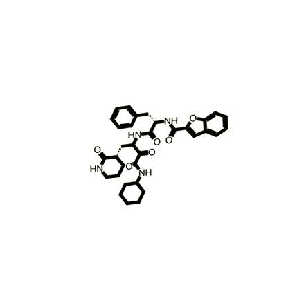 O=C(NC1CCCCC1)C(=O)C(C[C@@H]1CCCNC1=O)NC(=O)[C@H](Cc1ccccc1)NC(=O)c1cc2ccccc2o1